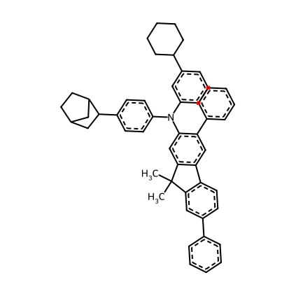 CC1(C)c2cc(-c3ccccc3)ccc2-c2cc(-c3ccccc3)c(N(c3ccc(C4CC5CCC4C5)cc3)c3cccc(C4CCCCC4)c3)cc21